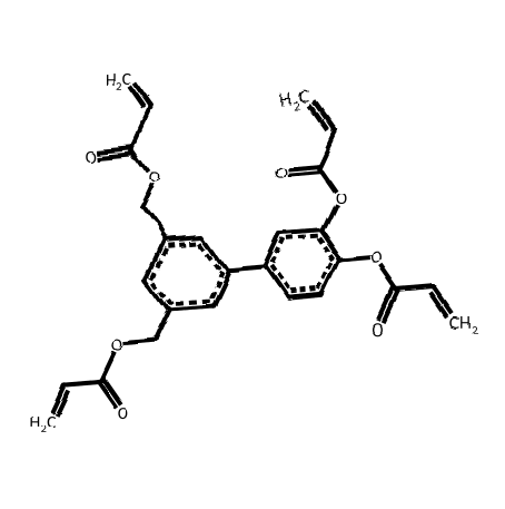 C=CC(=O)OCc1cc(COC(=O)C=C)cc(-c2ccc(OC(=O)C=C)c(OC(=O)C=C)c2)c1